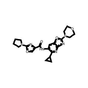 O=C(Nc1cc2oc(N3CCOCC3)nc2nc1C1CC1)c1coc(N2CCCC2)n1